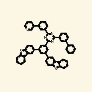 c1ccc(-c2cccc(-c3nc(-c4cccc(-c5cccnc5)c4)nc(-c4cc(-c5ccc6sc7ccccc7c6c5)cc(-c5ccc6sc7ccccc7c6c5)c4)n3)c2)cc1